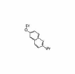 CCOc1ccc2cc(C(C)C)ccc2c1